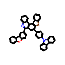 c1ccc2c(c1)nc(-c1ccc3oc4ccccc4c3c1)c1cc(-c3ccc(-n4c5ccccc5c5ccccc54)cc3)c3sc4ccccc4c3c12